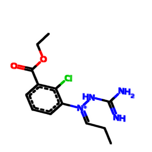 CCC=[N+](NC(=N)N)c1cccc(C(=O)OCC)c1Cl